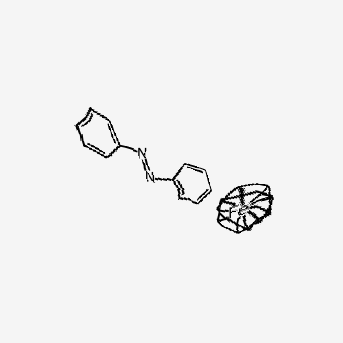 [CH]12[CH]3[CH]4[CH]5[CH]1[Fe]23451678[CH]2[CH]1[CH]6[CH]7[CH]28.c1ccc(N=Nc2ccccc2)cc1